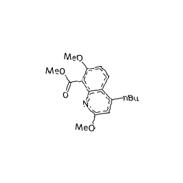 CCCCc1cc(OC)nc2c(C(=O)OC)c(OC)ccc12